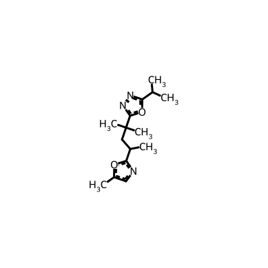 Cc1cnc(C(C)CC(C)(C)c2nnc(C(C)C)o2)o1